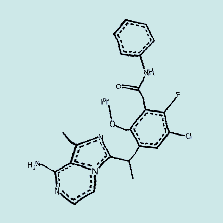 Cc1nc(C(C)c2cc(Cl)c(F)c(C(=O)Nc3ccccc3)c2OC(C)C)n2ccnc(N)c12